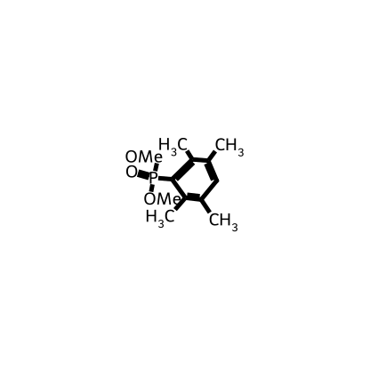 COP(=O)(OC)c1c(C)c(C)cc(C)c1C